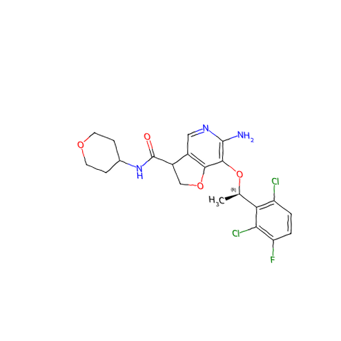 C[C@@H](Oc1c(N)ncc2c1OCC2C(=O)NC1CCOCC1)c1c(Cl)ccc(F)c1Cl